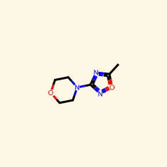 Cc1nc(N2CCOCC2)no1